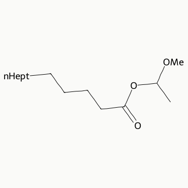 CCCCCCCCCCCC(=O)OC(C)OC